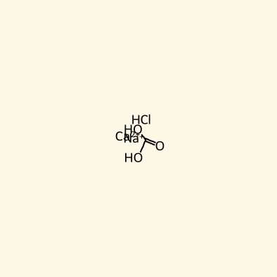 Cl.O=C(O)O.[Ca+2].[Na+]